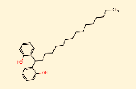 CCCCCCCCCCCCCCCC(c1ccccc1O)c1ccccc1O